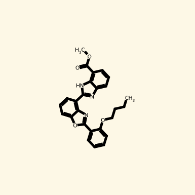 CCCCOc1ccccc1-c1nc2c(-c3nc4cccc(C(=O)OC)c4[nH]3)cccc2o1